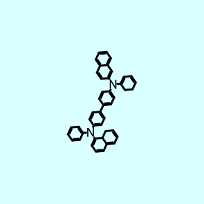 C1=CCCC(N(c2ccc(-c3ccc(N(C4=CC=CC5=CC=CCC54)c4ccccc4)cc3)cc2)c2ccc3ccccc3c2)=C1